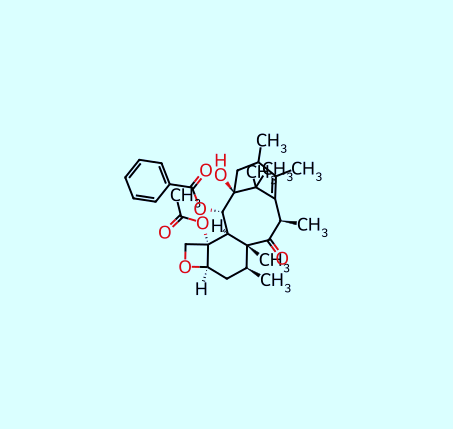 CC(=O)O[C@@]12CO[C@@H]1C[C@H](C)[C@@]1(C)C(=O)[C@H](C)C3=C(C)C(C)C[C@@](O)([C@@H](OC(=O)c4ccccc4)[C@H]21)C3(C)C